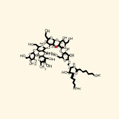 CCCCCCCCCCCCC/C=C/[C@@H](O)[C@H](CO[C@@H]1OC(CO)[C@@H](O[C@@H]2OC(CO)[C@H](O)[C@H](O[C@H]3OC(CO)[C@H](O)[C@H](O[C@@H]4OC(CO)[C@@H](O[C@@H]5OC(CO)[C@H](O)[C@H](O)C5O)[C@H](O[C@H]5OC(C)[C@@H](O)C(O)[C@@H]5O)C4NC(C)=O)C3O)C2O)[C@H](O)C1O)NC(=O)CCCCCCCCCCCCCCC